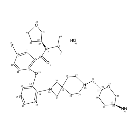 CC(C)N(C(=O)c1cc(F)ccc1Oc1cncnc1N1CC2(CCN(C[C@H]3CC[C@H](N)CO3)CC2)C1)[C@H]1CCOC1.Cl